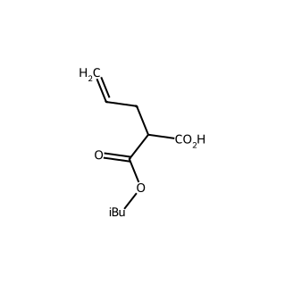 C=CCC(C(=O)O)C(=O)OC(C)CC